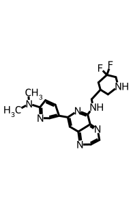 CN(C)c1ccc(-c2cc3nccnc3c(NCC3CNCC(F)(F)C3)n2)cn1